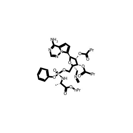 C=NC[C@]1(CO[P@](=O)(N[C@@H](C)C(=O)OCCC)Oc2ccccc2)O[C@@H](c2ccc3c(N)ncnn23)[C@H](OC(=O)C(C)C)[C@@H]1OC(=O)C(C)C